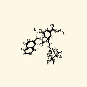 CCN(CC)CCn1c(=O)n(Cc2ccc3ccccc3c2)c2c(C(F)(F)F)cc(C(N)=O)cc21.O=C(O)C(F)(F)F